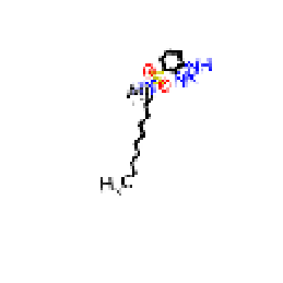 CCCCCCCCCCNS(=O)(=O)c1cccc2[nH]nnc12.[Ag]